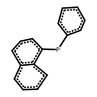 c1ccc([P]c2cccc3ccccc23)cc1